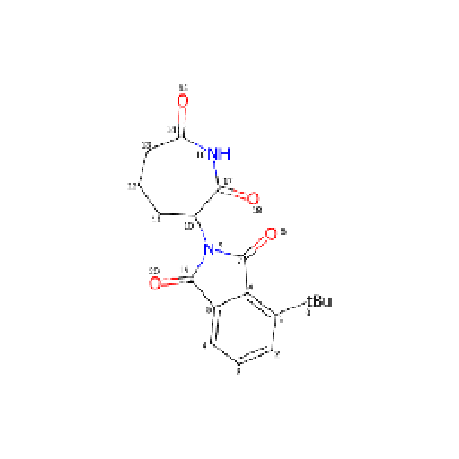 CC(C)(C)c1cccc2c1C(=O)N(C1CCCC(=O)NC1=O)C2=O